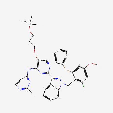 CCOc1cc(F)c(Cn2nc(-c3ncc(OCCCO[Si](C)(C)C(C)(C)C)c(Nc4ccnc(C)n4)n3)c3ccccc32)c(Sc2ccccc2)c1